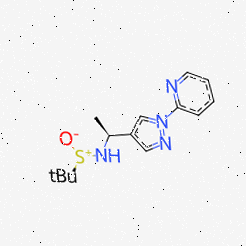 C[C@H](N[S@+]([O-])C(C)(C)C)c1cnn(-c2ccccn2)c1